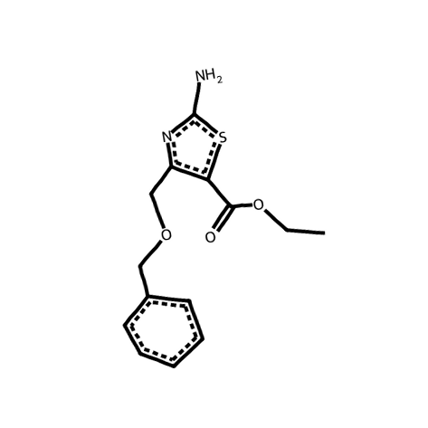 CCOC(=O)c1sc(N)nc1COCc1ccccc1